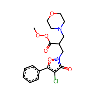 COOC(=O)C(CN1CCOCC1)Cn1oc(-c2ccccc2)c(Cl)c1=O